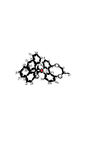 C[C@@H]1COc2cccc(OC(=O)c3cccc4ccccc34)c2-c2c(OC(=O)c3cccc4ccccc34)cccc2O1